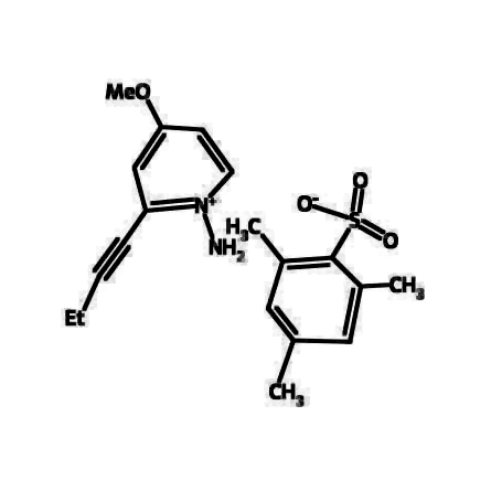 CCC#Cc1cc(OC)cc[n+]1N.Cc1cc(C)c(S(=O)(=O)[O-])c(C)c1